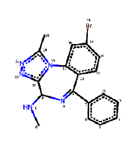 CNC1N=C(c2ccccc2)c2ccc(Br)cc2-n2c(C)nnc21